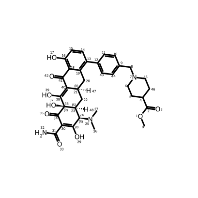 COC(=O)C1CCN(Cc2ccc(-c3ccc(O)c4c3C[C@H]3C[C@H]5[C@@H](N(C)C)C(O)=C(C(N)=O)C(=O)[C@]5(O)C(O)=C3C4=O)cc2)CC1